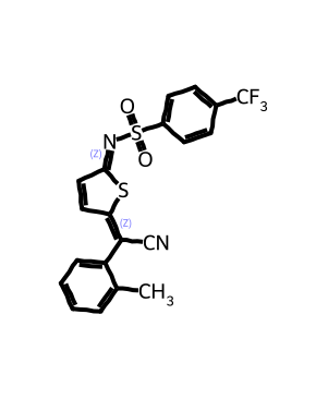 Cc1ccccc1/C(C#N)=C1C=C/C(=N/S(=O)(=O)c2ccc(C(F)(F)F)cc2)S\1